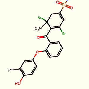 CC(C)c1cc(Oc2ccccc2C(=O)C2=C(Br)C=C(S(N)(=O)=O)CC2(Br)[N+](=O)[O-])ccc1O